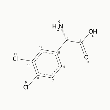 N[C@H](C(=O)O)c1ccc(Cl)c(Cl)c1